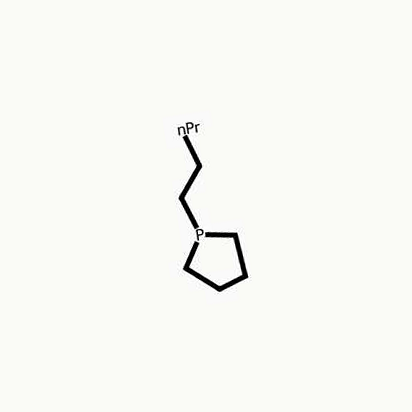 CCCCCP1CCCC1